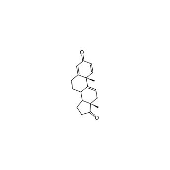 C[C@]12C=CC(=O)C=C1CCC1C2=CC[C@]2(C)C(=O)CCC12